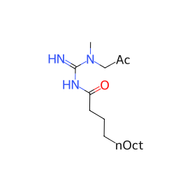 CCCCCCCCCCCC(=O)NC(=N)N(C)CC(C)=O